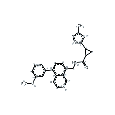 Cc1noc(C2CC2C(=O)NCc2ccc(-c3cccc(OC(F)(F)F)c3)c3ccncc23)n1